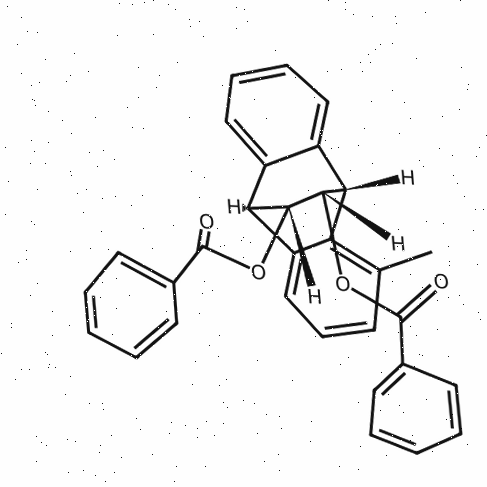 Cc1cccc2c1[C@H]1c3ccccc3[C@H]2[C@@H](OC(=O)c2ccccc2)[C@H]1OC(=O)c1ccccc1